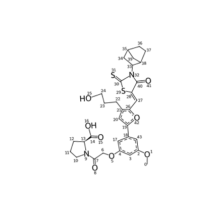 COc1cc(OCC(=O)N2CCC[C@H]2C(=O)O)cc(-c2cc(CCCO)c(/C=C3\SC(=S)N(C4CC5CCC4C5)C3=O)o2)c1